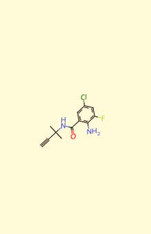 C#CC(C)(C)NC(=O)c1cc(Cl)cc(F)c1N